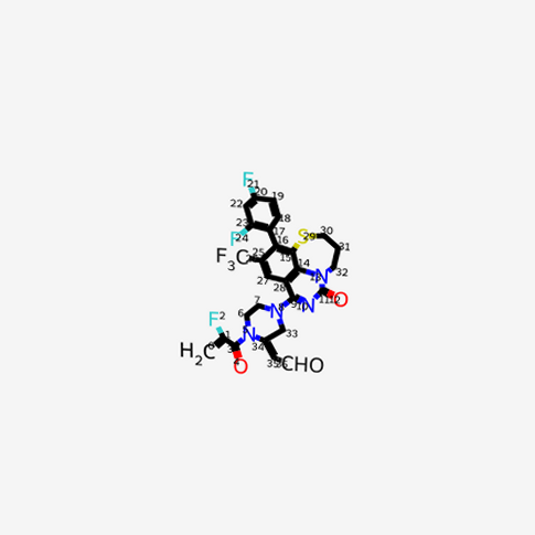 C=C(F)C(=O)N1CCN(c2nc(=O)n3c4c(c(-c5ccc(F)cc5F)c(C(F)(F)F)cc24)SCCC3)C/C1=C\C=O